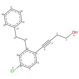 OCCC#Cc1ccc(Cl)cc1CCc1ccccc1